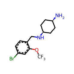 N[C@H]1CC[C@@H](NCc2ccc(Br)cc2OC(F)(F)F)CC1